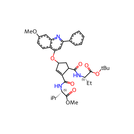 CC[C@H](NC(=O)C1CC(Oc2cc(-c3ccccc3)nc3cc(OC)ccc23)C=C1C(=O)N[C@H](C(=O)OC)C(C)C)C(=O)OC(C)(C)C